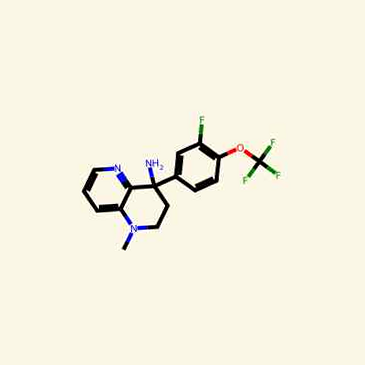 CN1CCC(N)(c2ccc(OC(F)(F)F)c(F)c2)c2ncccc21